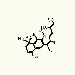 CCOc1c(\C(CC)=C(F)/C=C/C(C)=C/C(=O)O)cc2c(c1Br)C(C)(C)CC=C2C(C)CC